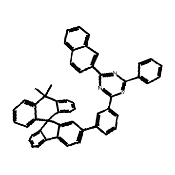 CC1(C)c2ccccc2C2(c3ccccc3-c3ccc(-c4cccc(-c5nc(-c6ccccc6)nc(-c6ccc7ccccc7c6)n5)c4)cc32)c2ccccc21